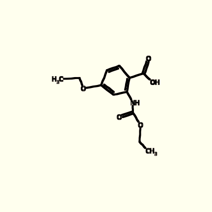 CCOC(=O)Nc1cc(OCC)ccc1C(=O)O